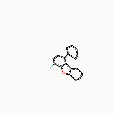 Fc1ccc(-c2ccccc2)c2c1oc1ccccc12